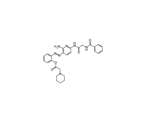 Nc1nc(NC(=O)CNC(=O)c2ccccc2)ccc1/N=N/c1ccccc1OC(=O)CN1CCCCC1